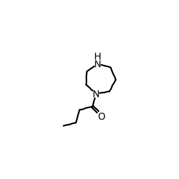 CCCC(=O)N1CCCNCC1